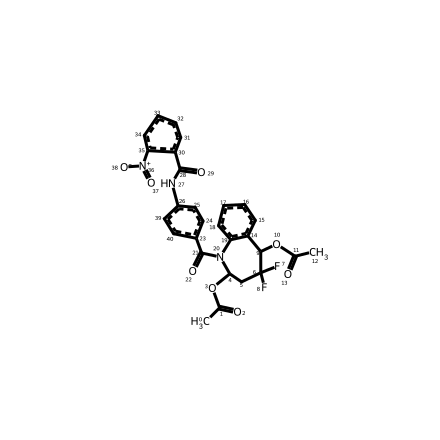 CC(=O)OC1CC(F)(F)C(OC(C)=O)c2ccccc2N1C(=O)c1ccc(NC(=O)c2ccccc2[N+](=O)[O-])cc1